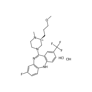 COCCC[C@H]1CN(C2=Nc3cc(F)ccc3Nc3ccc(C(F)(F)F)cc32)CCN1C.Cl.Cl